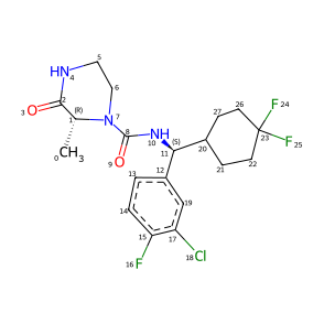 C[C@@H]1C(=O)NCCN1C(=O)N[C@H](c1ccc(F)c(Cl)c1)C1CCC(F)(F)CC1